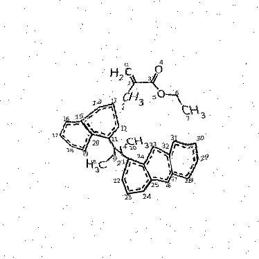 C=C(C)C(=O)OCC.C[N+](C)(c1cccc2ccccc12)c1cccc2cc3ccccc3cc12